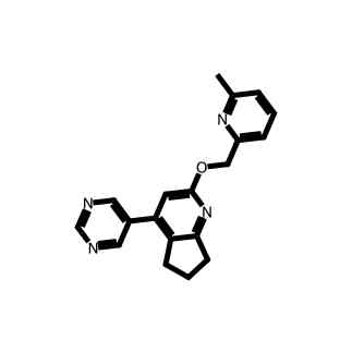 Cc1cccc(COc2cc(-c3cncnc3)c3c(n2)CCC3)n1